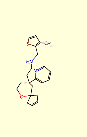 Cc1ccsc1CNCCC1(c2ccccn2)CCOC2(CC=CC2)C1